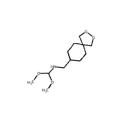 COC(NCC1CCC2(CC1)COOC2)OC